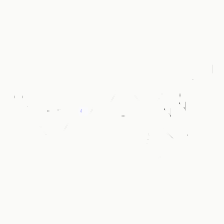 Cc1cc(/C=C/c2cccc(C(=O)O)c2)ccc1-c1cc(C(C)(C)O)nn1-c1c(Cl)cccc1Cl